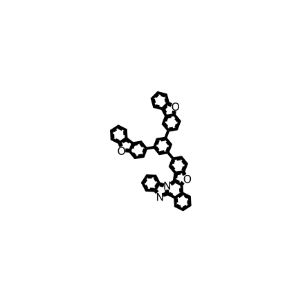 c1ccc2c(c1)nc1c3ccccc3c3oc4ccc(-c5cc(-c6ccc7oc8ccccc8c7c6)cc(-c6ccc7oc8ccccc8c7c6)c5)cc4c3n21